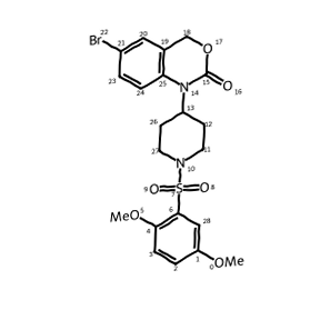 COc1ccc(OC)c(S(=O)(=O)N2CCC(N3C(=O)OCc4cc(Br)ccc43)CC2)c1